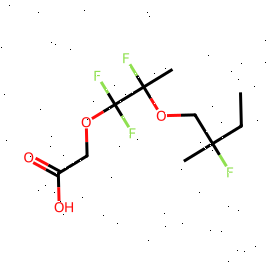 CCC(C)(F)COC(C)(F)C(F)(F)OCC(=O)O